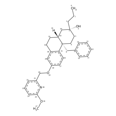 CCC[C@@]1(O)CC[C@@]2(Cc3ccccc3)c3ccc(OCc4cccc(OC)n4)cc3CC[C@@H]2C1